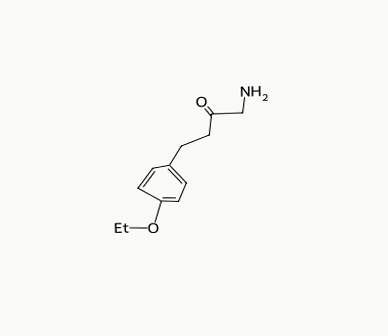 CCOc1ccc(CCC(=O)CN)cc1